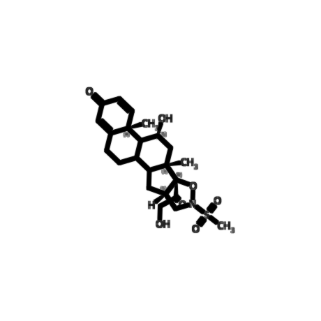 C[C@]12C=CC(=O)C=C1CCC1C2[C@@H](O)C[C@@]2(C)C1C[C@H]1CN(S(C)(=O)=O)O[C@]12C(=O)CO